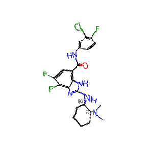 CN(C)[C@@H]1CCCC[C@H]1Nc1nc2c(F)c(F)cc(C(=O)Nc3ccc(F)c(Cl)c3)c2[nH]1